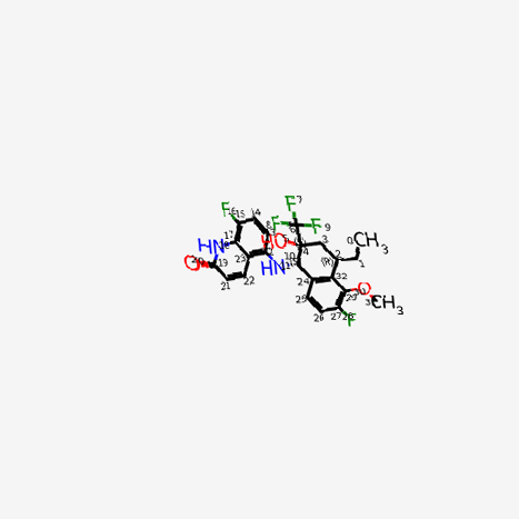 CC[C@@H]1C[C@@](O)(C(F)(F)F)[C@@H](Nc2ccc(F)c3[nH]c(=O)ccc23)c2ccc(F)c(OC)c21